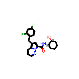 O=C(N[C@H]1CCCC[C@@H]1O)c1cc(Cc2ccc(F)cc2F)c2cccnn12